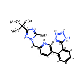 CCCCc1nc(C(CCCC)(OC)OC)nn1Cc1ccc(-c2ccccc2-c2nnn[nH]2)cn1